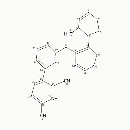 CC1C=CCCC1C1=C(Cc2cccc(C3=CC=C(C#N)NC3C#N)c2)C=CCC1